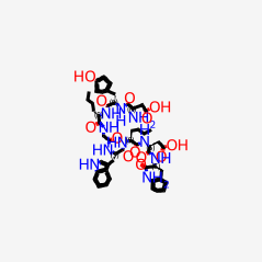 CCCC[C@H](NC(=O)[C@H](Cc1ccc(O)cc1)NC(=O)[C@H](N)CC(=O)O)C(=O)NCC(=O)N[C@@H](Cc1c[nH]c2ccccc12)C(=O)N[C@@H](CCCC)C(=O)N[C@@H](CC(=O)O)C(=O)N[C@@H](Cc1ccccc1)C(N)=O